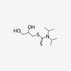 CC(C)N(C(=S)SCC(O)CO)C(C)C